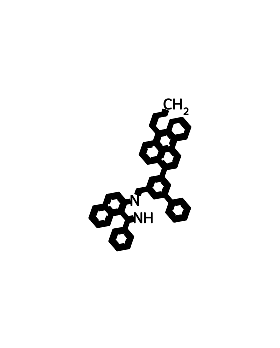 C=C/C=C\c1c2c(c3ccc(-c4cc(/C=N/c5ccc6ccccc6c5C(=N)c5ccccc5)cc(-c5ccccc5)c4)c4cccc1c43)=CC=CC2